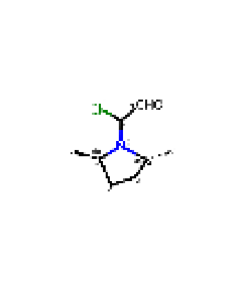 C[C@@H]1CC[C@@H](C)N1C(Cl)C=O